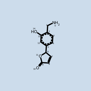 NCc1ccc(C2C=CC(=O)O2)cc1O